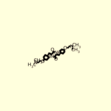 CN(C)CCOc1ccc(C=c2[nH]c(=O)c(=Cc3ccc(OCCN(C)C)cc3)[nH]c2=O)cc1